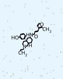 C=CCN1CC[C@@]2(c3cccc(O)c3)C[C@@H](NC(=O)/C=C/c3ccoc3C)CC[C@@H]2C1